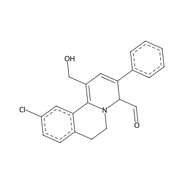 O=CC1C(c2ccccc2)=CC(CO)=C2c3cc(Cl)ccc3CCN21